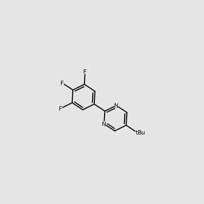 CC(C)(C)c1cnc(-c2cc(F)c(F)c(F)c2)nc1